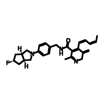 C=C1CN=C(C)C(C(=O)NCc2ccc(N3C[C@H]4C[C@H](F)C[C@H]4C3)cc2)=C1/C=C\C=C/C